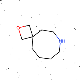 C1CCC2(CCNC1)COC2